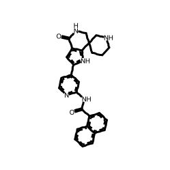 O=C1NCC2(CCCNC2)c2[nH]c(-c3ccnc(NC(=O)c4cccc5ccccc45)c3)cc21